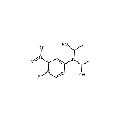 CC(O)N(c1ccc(F)c([N+](=O)[O-])c1)C(C)O